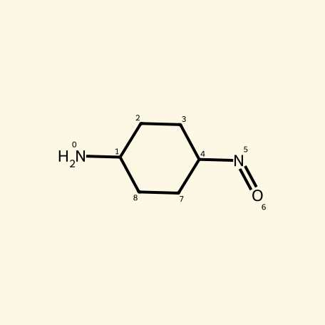 NC1CCC(N=O)CC1